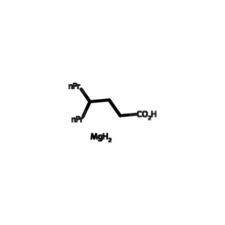 CCCC(CCC)CCC(=O)O.[MgH2]